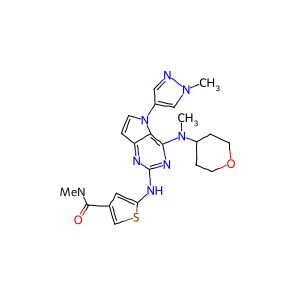 CNC(=O)c1csc(Nc2nc(N(C)C3CCOCC3)c3c(ccn3-c3cnn(C)c3)n2)c1